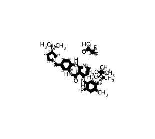 Cc1cc(F)c(Nc2ccnc3c2C(=O)Nc2cc(CN4CC[C@@H](N(C)C)C4)ccc2N3)cc1O[Si](C)(C)C(C)(C)C.O=C(O)C(F)(F)F